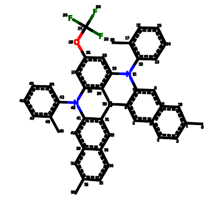 Cc1ccc2cc3c(cc2c1)N(c1ccccc1C)c1cc(OC(F)(F)F)cc2c1B3c1cc3ccc(C)cc3cc1N2c1ccccc1C